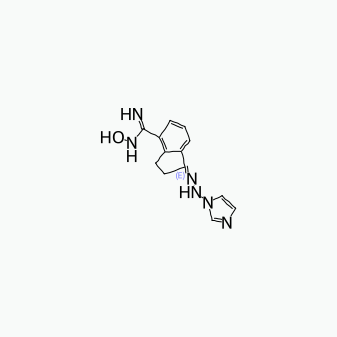 N=C(NO)c1cccc2c1CC/C2=N\Nn1ccnc1